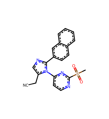 CS(=O)(=O)c1nccc(-n2c(CC#N)cnc2-c2ccc3ccccc3c2)n1